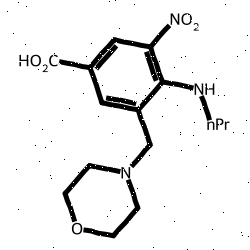 CCCNc1c(CN2CCOCC2)cc(C(=O)O)cc1[N+](=O)[O-]